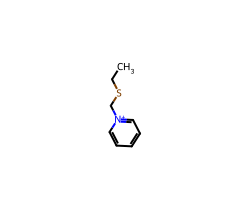 CCSC[n+]1ccccc1